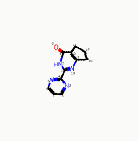 O=c1[nH]c(-c2ncccn2)nc2c1CCC2